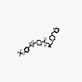 O=C(NCC1(CN2CCC(Cc3ccccn3)CC2)CC1)N1CCN(c2nc(-c3ccc(OC(F)(F)F)cc3)no2)CC1